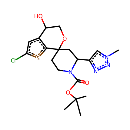 Cn1cc(C2CC3(CCN2C(=O)OC(C)(C)C)OCC(O)c2cc(Cl)sc23)nn1